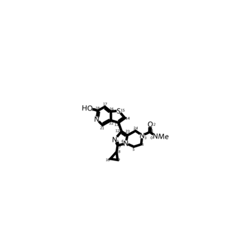 CNC(=O)N1CCn2c(C3CC3)nc(-c3csc4cc(O)ncc34)c2C1